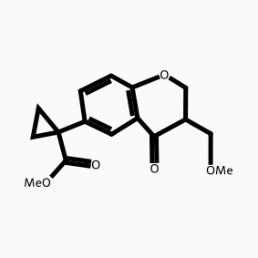 COCC1COc2ccc(C3(C(=O)OC)CC3)cc2C1=O